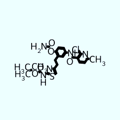 Cc1ccc(C(=O)Nc2ccc(OC(N)=O)c(CCc3csc(NC(=O)OC(C)(C)C)n3)c2)c(Cl)n1